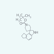 CC(C)(C)OC(=O)N1CCC2(CC1)CNc1ccc3c(c12)CCC3